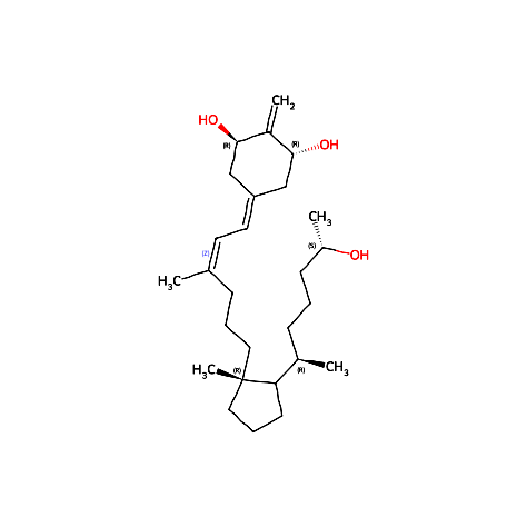 C=C1[C@H](O)CC(=C/C=C(/C)CCC[C@@]2(C)CCCC2[C@H](C)CCC[C@H](C)O)C[C@H]1O